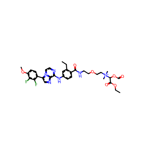 CCOC(=O)C(OC=O)[N+](C)(C)CCOCCNC(=O)c1ccc(Nc2nccn3c(-c4ccc(OC)c(F)c4F)cnc23)cc1CC